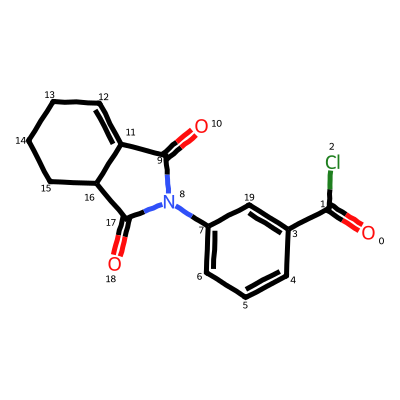 O=C(Cl)c1cccc(N2C(=O)C3=CCCCC3C2=O)c1